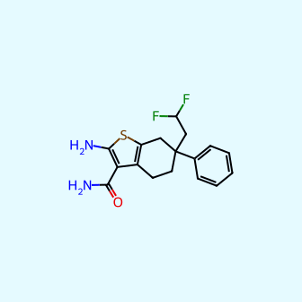 NC(=O)c1c(N)sc2c1CCC(CC(F)F)(c1ccccc1)C2